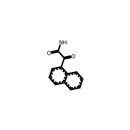 [NH]C(=O)C(=O)c1cccc2ccccc12